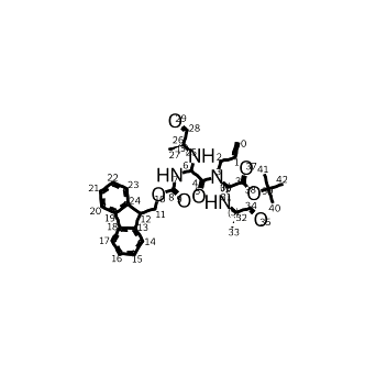 C=CCN(C(=O)C(NC(=O)OCC1c2ccccc2-c2ccccc21)N[C@@H](C)C=O)[C@@H](N[C@@H](C)C=O)C(=O)OC(C)(C)C